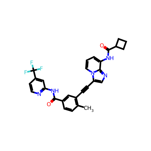 Cc1ccc(C(=O)Nc2cc(C(F)(F)F)ccn2)cc1C#Cc1cnc2c(NC(=O)C3CCC3)cccn12